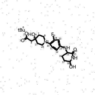 CC(C)(C)OC(=O)CC1(O)CCN(c2ccc(NC3CCC(O)NC3=O)cc2F)CC1